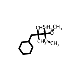 COC([SiH3])(OC)C(C)(C)CC1CCCCC1